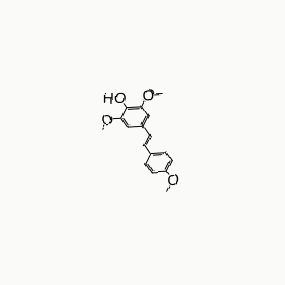 COc1ccc(C=Cc2cc(OC)c(O)c(OC)c2)cc1